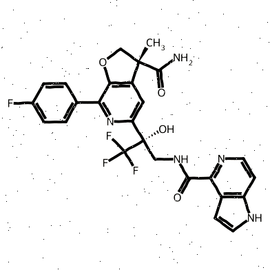 C[C@]1(C(N)=O)COc2c1cc([C@@](O)(CNC(=O)c1nccc3[nH]ccc13)C(F)(F)F)nc2-c1ccc(F)cc1